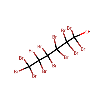 [O]C(Br)(Br)C(Br)(Br)C(Br)(Br)C(Br)(Br)C(Br)(Br)C(Br)(Br)Br